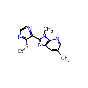 CCSc1nccnc1-c1nc2cc(C(F)(F)F)cnc2n1C